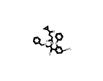 Nc1ccc(C(=O)C(COCc2ccccc2)NC(=O)CCC(=O)C2CC2)c(Oc2ccccc2)c1